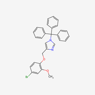 COc1cc(Br)ccc1OCc1cn(C(c2ccccc2)(c2ccccc2)c2ccccc2)cn1